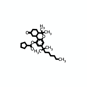 CCCCCCC(C)(C)c1cc(OC(=O)C2CCCC2)c2c(c1)OC(C)(C)C1CCC(=O)CC21